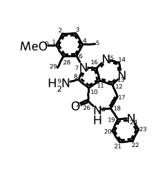 COc1ccc(C)c(-n2c(N)c3c4c(ncnc42)C=C(c2ccccn2)NC3=O)c1C